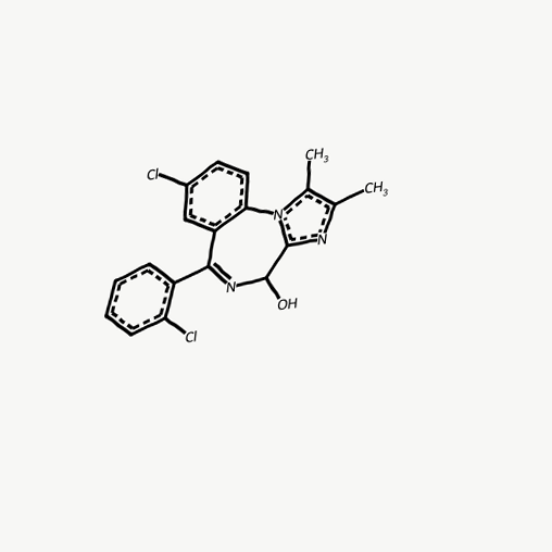 Cc1nc2n(c1C)-c1ccc(Cl)cc1C(c1ccccc1Cl)=NC2O